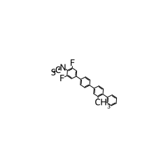 Cc1cc(-c2ccc(-c3cc(F)c(N=C=S)c(F)c3)cc2)ccc1-c1ccccc1